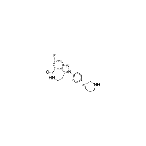 O=C1NCCc2c3c1cc(F)cc3nn2-c1ccc([C@H]2CCCNC2)cc1